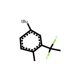 Cc1ccc(C(C)(C)C)cc1C(C)(F)F